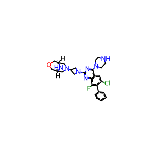 Fc1c(-c2ccccc2)c(Cl)cc2c(N3CCNCC3)nc(N3CC(N4C[C@H]5COC[C@@H](C4)N5)C3)nc12